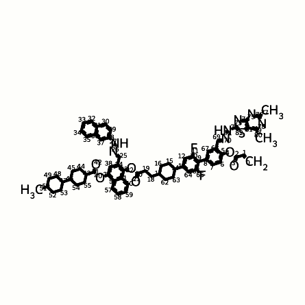 C=CC(=O)Oc1ccc(-c2c(F)cc(C3CCC(CCC(=O)Oc4c(/C=N/Nc5ccc6ccccc6c5)cc(OC(=O)C5CCC(C6CCC(C)CC6)CC5)c5ccccc45)CC3)cc2F)cc1/C=N/Nc1nc2nc(C)nc(C)c2s1